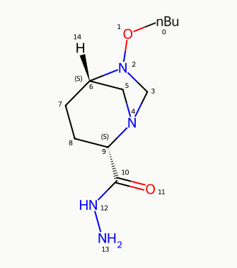 CCCCON1CN2C[C@@H]1CC[C@H]2C(=O)NN